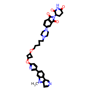 Cn1c2ccncc2c2ccc(-c3ccc(OC4CC(OCCCCCN5CCN(c6ccc7c(c6)C(=O)N(C6CCC(=O)NC6=O)C7=O)CC5)C4)nc3)cc21